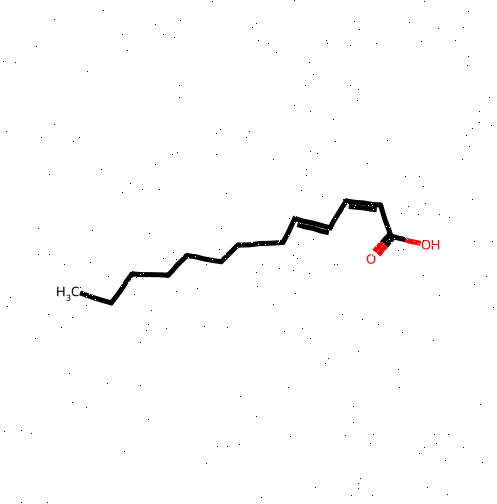 CCCCCCCC/C=C/C=C\C(=O)O